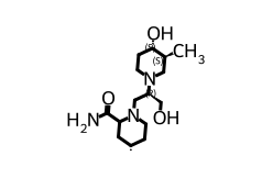 C[C@H]1CN([C@@H](CO)CN2CC[CH]CC2C(N)=O)CC[C@@H]1O